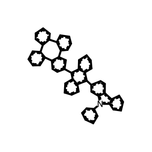 c1ccc(-n2c3ccccc3c3ccc(-c4c5ccccc5c(-c5ccc6c(c5)-c5ccccc5-c5ccccc5-c5ccccc5-6)c5ccccc45)cc32)cc1